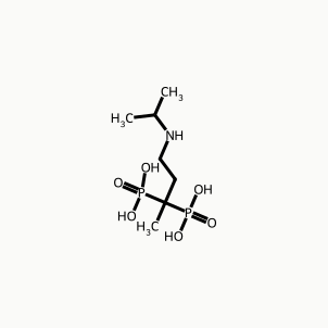 CC(C)NCCC(C)(P(=O)(O)O)P(=O)(O)O